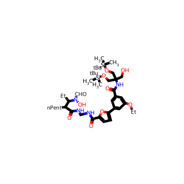 CCCCCC(C(=O)NCNC(=O)c1ccc(-c2cc(OCC)cc(C(=O)NC(CO)(CO[Si](C)(C)C(C)(C)C)CO[Si](C)(C)C(C)(C)C)c2)o1)C(CC)N(O)C=O